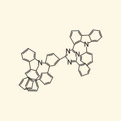 c1ccc(-c2cccc(-c3cc(-c4nc(-c5ccccc5)nc(-c5cccc6c7ccccc7n(-c7ccccc7)c56)n4)ccc3-n3c4ccccc4c4cc5ccccc5cc43)c2)cc1